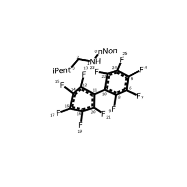 CCCCCCCCCNCC(C)CCC.Fc1c(F)c(F)c(-c2c(F)c(F)c(F)c(F)c2F)c(F)c1F